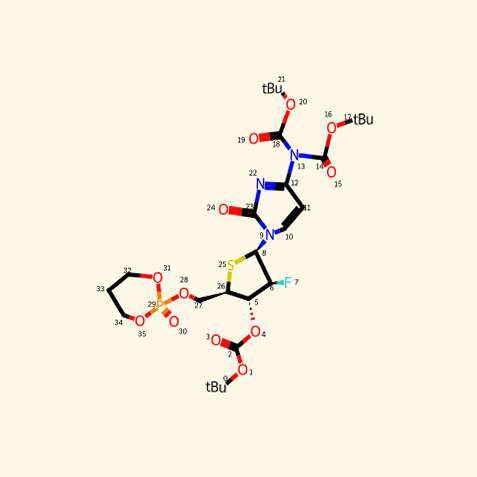 CC(C)(C)OC(=O)O[C@H]1[C@H](F)[C@H](n2ccc(N(C(=O)OC(C)(C)C)C(=O)OC(C)(C)C)nc2=O)S[C@@H]1COP1(=O)OCCCO1